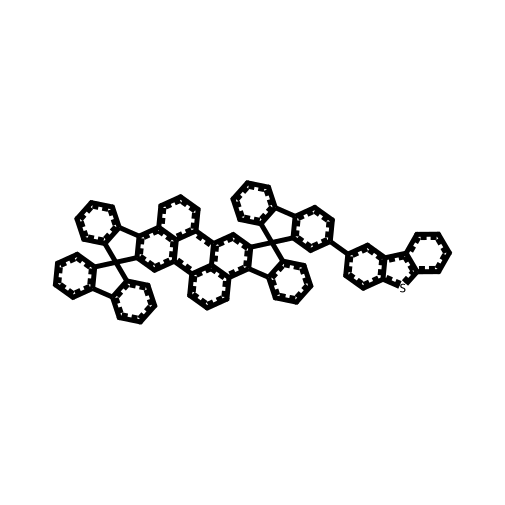 c1ccc2c(c1)-c1ccccc1C21c2ccccc2-c2c1cc1c3cccc4c5c(cc(c6cccc2c61)c43)C1(c2ccccc2-c2ccc(-c3ccc4sc6ccccc6c4c3)cc21)c1ccccc1-5